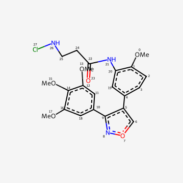 COc1ccc(-c2conc2-c2cc(OC)c(OC)c(OC)c2)cc1NC(=O)CCNCl